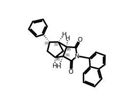 O=C1[C@@H]2[C@H]3C[C@H](C[C@@H]3c3ccccc3)[C@@H]2C(=O)N1c1cccc2ccccc12